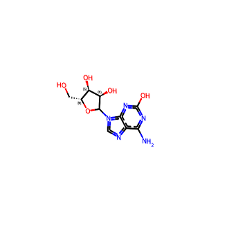 Nc1nc(O)nc2c1ncn2C1O[C@H](CO)[C@@H](O)[C@H]1O